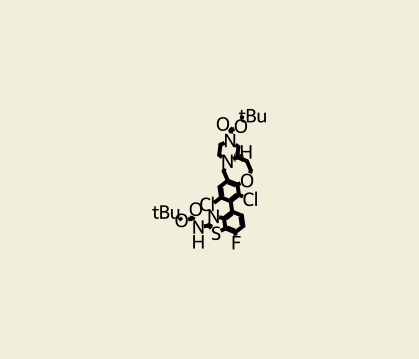 CC(C)(C)OC(=O)Nc1nc2c(-c3c(Cl)cc4c(c3Cl)OCC[C@@H]3CN(C(=O)OC(C)(C)C)CCN3C4)ccc(F)c2s1